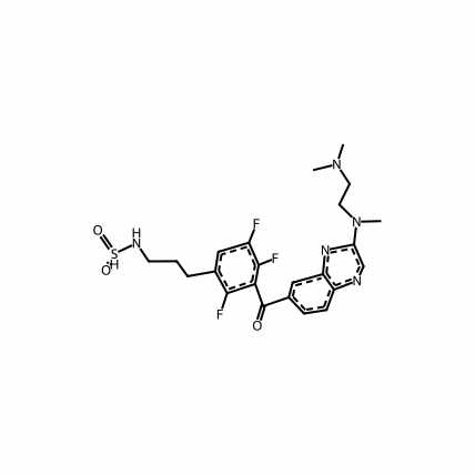 CN(C)CCN(C)c1cnc2ccc(C(=O)c3c(F)c(F)cc(CCCN[SH](=O)=O)c3F)cc2n1